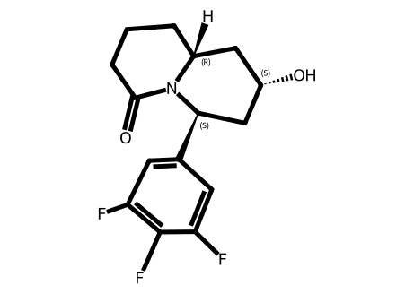 O=C1CCC[C@@H]2C[C@H](O)C[C@@H](c3cc(F)c(F)c(F)c3)N12